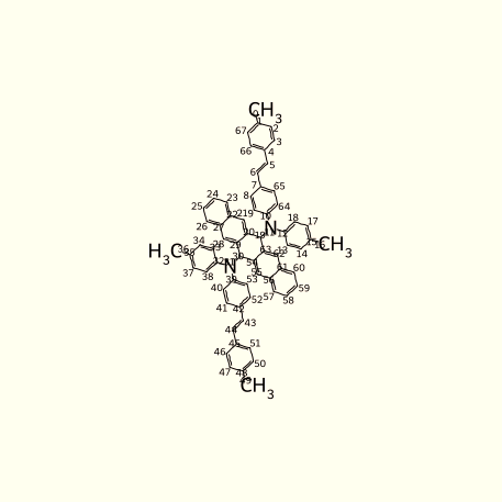 Cc1ccc(/C=C/c2ccc(N(c3ccc(C)cc3)C3c4cc5ccccc5cc4C(N(c4ccc(C)cc4)c4ccc(/C=C/c5ccc(C)cc5)cc4)c4cc5ccccc5cc43)cc2)cc1